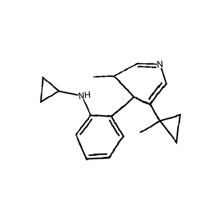 CC1C=NC=C(C2(C)CC2)C1c1ccccc1NC1CC1